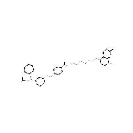 O=C(O)NC(c1ccccc1)c1cccc(OCc2ccc(C(=O)OCCCCNC[C@H](O)c3ccc(O)c4[nH]c(=O)ccc34)cc2)c1